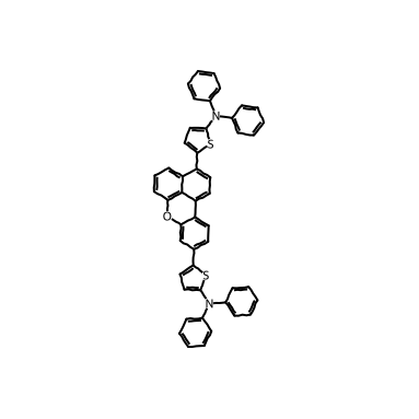 c1ccc(N(c2ccccc2)c2ccc(-c3ccc4c(c3)Oc3cccc5c(-c6ccc(N(c7ccccc7)c7ccccc7)s6)ccc-4c35)s2)cc1